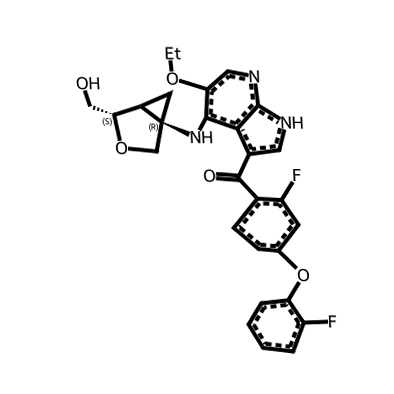 CCOc1cnc2[nH]cc(C(=O)c3ccc(Oc4ccccc4F)cc3F)c2c1N[C@@]12CO[C@H](CO)C1C2